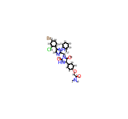 CN(C)C(=O)COc1ccc(C2NC(=O)N([C@@H](Cc3ccccc3)c3ncc(-c4ccc(Br)cc4Cl)[nH]3)C2=O)cc1